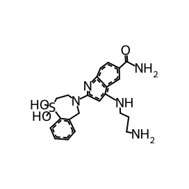 NCCCNc1cc(N2CCS(O)(O)c3ccccc3C2)nc2ccc(C(N)=O)cc12